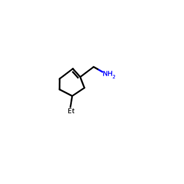 CCC1CCC=C(CN)C1